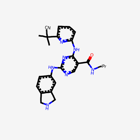 CC(C)NC(=O)c1cnc(Nc2ccc3c(c2)CNC3)nc1Nc1cccc(C(C)(C)C#N)n1